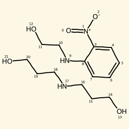 O=[N+]([O-])c1ccccc1NCCO.OCCCNCCCO